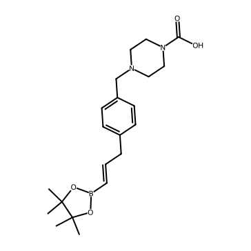 CC1(C)OB(/C=C/Cc2ccc(CN3CCN(C(=O)O)CC3)cc2)OC1(C)C